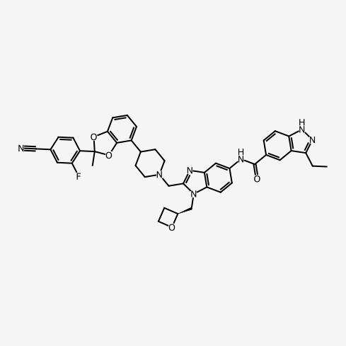 CCc1n[nH]c2ccc(C(=O)Nc3ccc4c(c3)nc(CN3CCC(c5cccc6c5OC(C)(c5ccc(C#N)cc5F)O6)CC3)n4C[C@@H]3CCO3)cc12